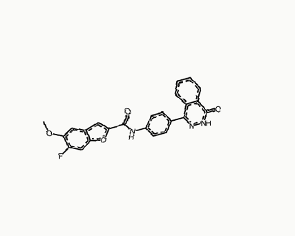 COc1cc2cc(C(=O)Nc3ccc(-c4n[nH]c(=O)c5ccccc45)cc3)oc2cc1F